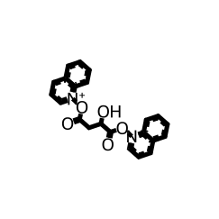 O=C(CC(O)C(=O)O[n+]1cccc2ccccc21)O[n+]1cccc2ccccc21